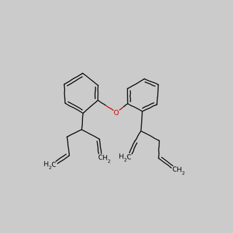 C=CCC(C=C)c1ccccc1Oc1ccccc1C(C=C)CC=C